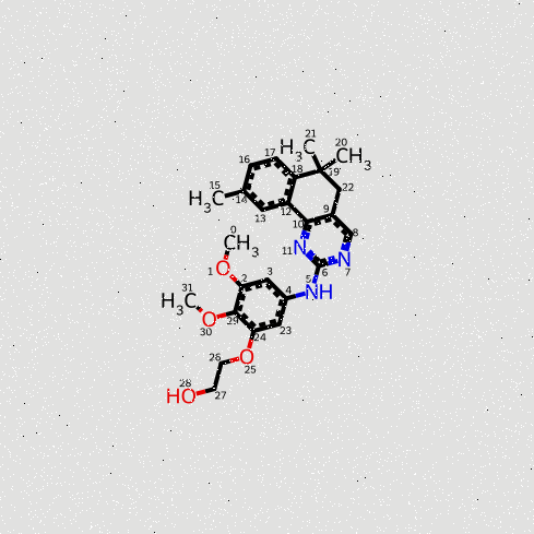 COc1cc(Nc2ncc3c(n2)-c2cc(C)ccc2C(C)(C)C3)cc(OCCO)c1OC